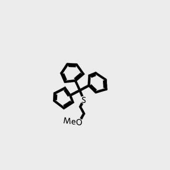 COCCSC(c1ccccc1)(c1ccccc1)c1ccccc1